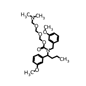 CCCC(c1cccc(OC)c1)N(Cc1cccc(OC)c1)C(=O)OCOCOCN(C)C